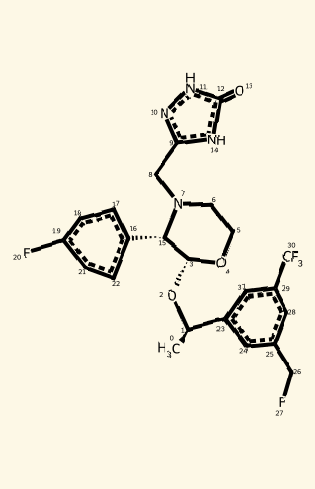 C[C@@H](O[C@H]1OCCN(Cc2n[nH]c(=O)[nH]2)[C@H]1c1ccc(F)cc1)c1cc(CF)cc(C(F)(F)F)c1